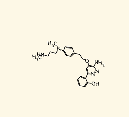 CNCCCN(C)c1ccc(CCOc2cc(-c3ccccc3O)nnc2N)cc1